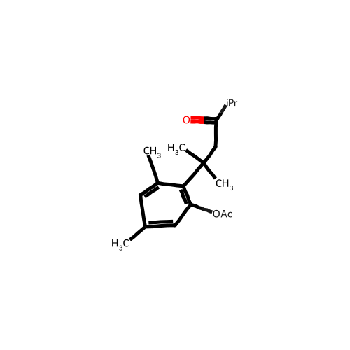 CC(=O)Oc1cc(C)cc(C)c1C(C)(C)CC(=O)C(C)C